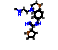 CNCCN1CCSc2ccc(NC(=N)C3CC=CS3)cc21